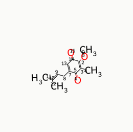 COC1=C(C)C(=O)C(CC=C(C)C)=CC1=O